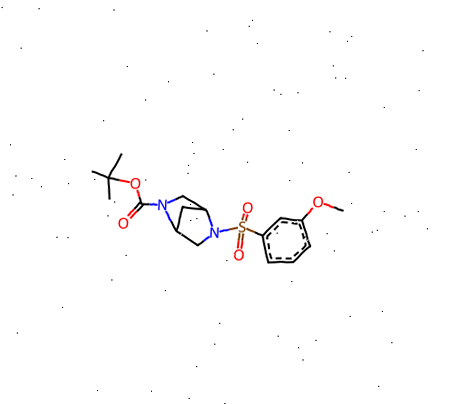 COc1cccc(S(=O)(=O)N2CC3CC2CN3C(=O)OC(C)(C)C)c1